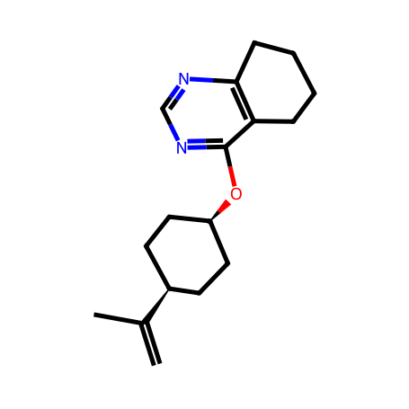 C=C(C)[C@H]1CC[C@@H](Oc2ncnc3c2CCCC3)CC1